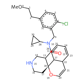 COCCc1ccc(Cl)c(CN(C(=O)C2CNCC[C@@]23OC=CC2C=CC=CC23)C2CC2)c1